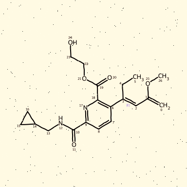 C=C(/C=C(\CC)c1ccc(C(=O)NCC2CC2)nc1C(=O)OCCO)OC